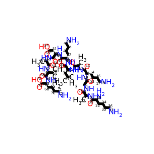 CC(C)C[C@H](NC(=O)[C@H](C)NC(=O)[C@H](CCCCN)NC(=O)CNC(=O)[C@H](C)NC(=O)[C@@H](N)CCCCN)C(=O)N[C@@H](CCCCN)C(=O)N[C@@H](CC(=O)O)C(=O)N[C@@H](C)C(=O)N[C@H](C(=O)N[C@@H](CCCCN)C(=O)O)C(C)C